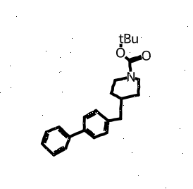 CC(C)(C)OC(=O)N1CCC(Cc2ccc(-c3ccccc3)cc2)CC1